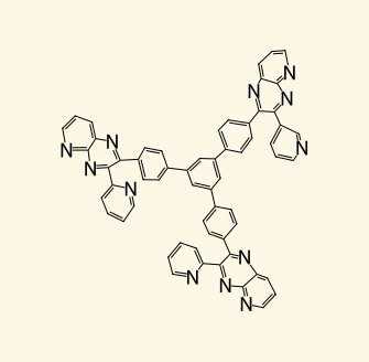 c1ccc(-c2nc3ncccc3nc2-c2ccc(-c3cc(-c4ccc(-c5nc6cccnc6nc5-c5cccnc5)cc4)cc(-c4ccc(-c5nc6cccnc6nc5-c5ccccn5)cc4)c3)cc2)nc1